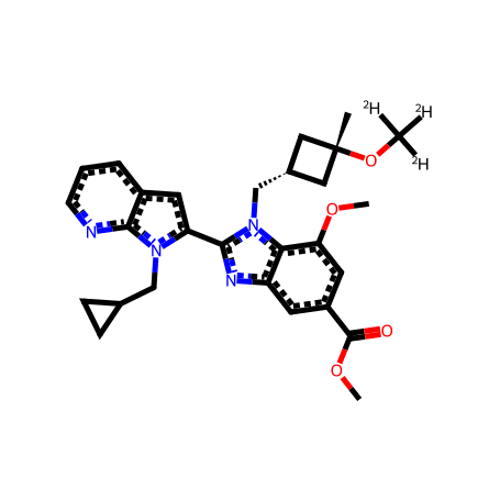 [2H]C([2H])([2H])O[C@]1(C)C[C@H](Cn2c(-c3cc4cccnc4n3CC3CC3)nc3cc(C(=O)OC)cc(OC)c32)C1